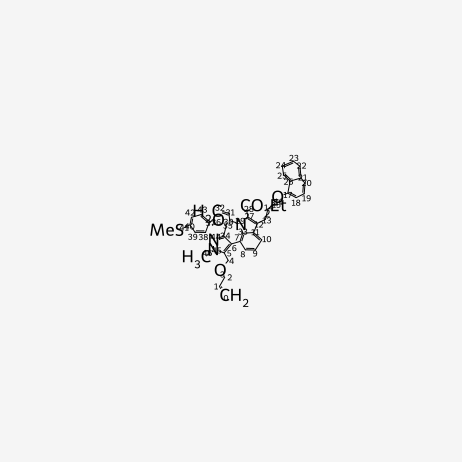 C=CCOCc1c(-c2cccc3c(CCCOc4cccc5ccccc45)c(C(=O)OCC)n(CC=C)c23)c(COc2ccc(SC)cc2)nn1C